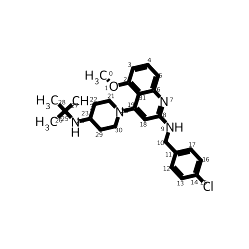 COc1cccc2nc(NCc3ccc(Cl)cc3)cc(N3CCC(NC(C)(C)C)CC3)c12